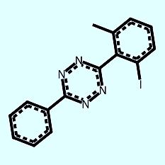 Cc1cccc(I)c1-c1nnc(-c2ccccc2)nn1